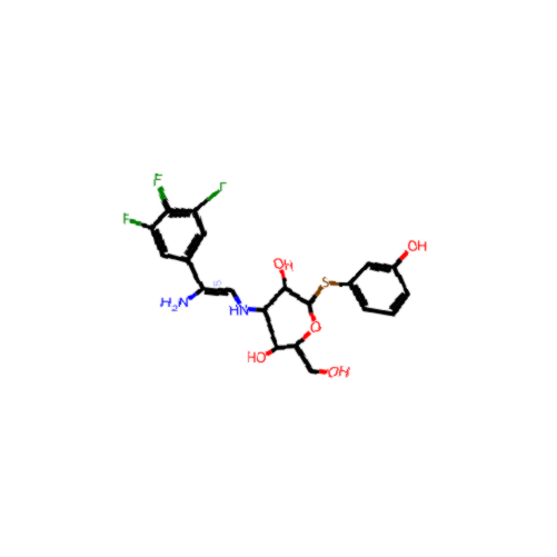 N/C(=C\NC1C(O)C(CO)OC(Sc2cccc(O)c2)C1O)c1cc(F)c(F)c(F)c1